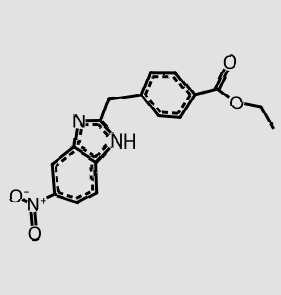 CCOC(=O)c1ccc(Cc2nc3cc([N+](=O)[O-])ccc3[nH]2)cc1